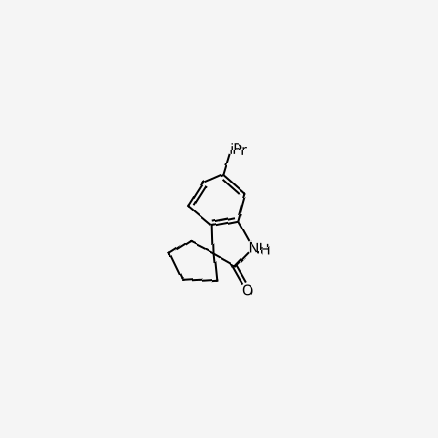 CC(C)c1ccc2c(c1)NC(=O)C21CCCC1